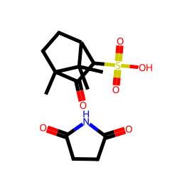 CC12CCC(C(S(=O)(=O)O)C1=O)C2(C)C.O=C1CCC(=O)N1